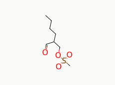 CCCCC(C=O)COS(C)(=O)=O